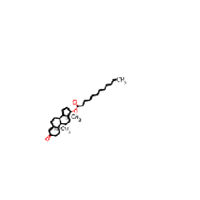 CCCCCCCCCCCC(=O)OC1CCC2C3CCC4=CC(=O)CC[C@]4(C)C3CC[C@]12C